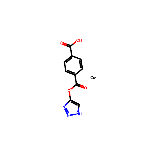 O=C(O)c1ccc(C(=O)Oc2c[nH]nn2)cc1.[Co]